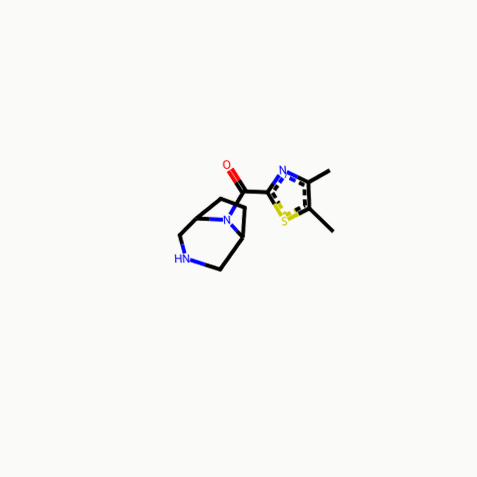 Cc1nc(C(=O)N2C3CCC2CNC3)sc1C